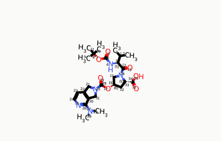 CC(C)[C@H](NC(=O)OC(C)(C)C)C(=O)N1C[C@H](OC(=O)N2Cc3ccnc(N(C)C)c3C2)C[C@H]1C(=O)O